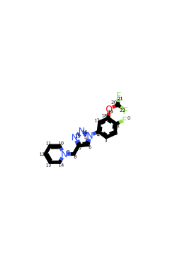 Fc1ccc(-n2cc(CN3C=CC=CC3)nn2)cc1OC(F)F